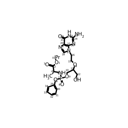 CC(C)OC(=O)[C@H](C)NP(=O)(OCC(CO)OCCn1cnc2c(=O)[nH]c(N)nc21)Oc1ccccc1